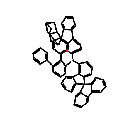 c1ccc(-c2cccc(N(c3ccc4c(c3)C3(c5ccccc5-4)C4CC5CC(C4)C3C5)c3cccc4c3-c3ccccc3C43c4ccccc4-c4ccccc43)c2-c2ccccc2)cc1